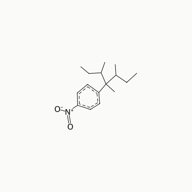 CCC(C)C(C)(c1ccc([N+](=O)[O-])cc1)C(C)CC